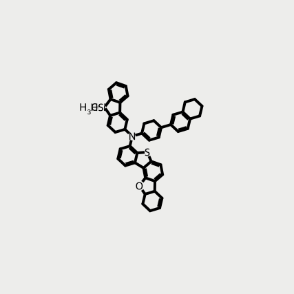 C[SiH]1C2=CCC(N(C3=CC=C(c4ccc5c(c4)CCCC5)CC3)c3cccc4c3sc3ccc5c(c34)OC3CCC=CC53)C=C2c2ccccc21